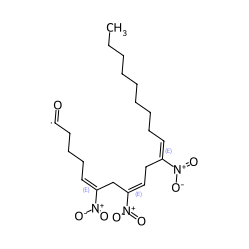 CCCCCCCC/C=C(\C/C=C(\C/C(=C\CCC[C]=O)[N+](=O)[O-])[N+](=O)[O-])[N+](=O)[O-]